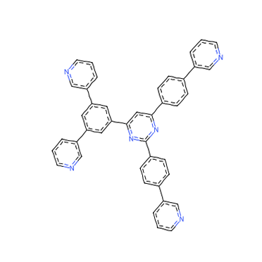 c1cncc(-c2ccc(-c3cc(-c4cc(-c5cccnc5)cc(-c5cccnc5)c4)nc(-c4ccc(-c5cccnc5)cc4)n3)cc2)c1